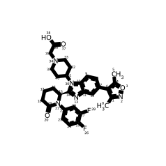 Cc1noc(C)c1-c1ccc2c(c1)nc([C@@H]1CCCC(=O)N1c1ccc(F)c(F)c1)n2C1CCN(CC(=O)O)CC1